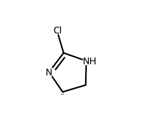 ClC1=N[C]CN1